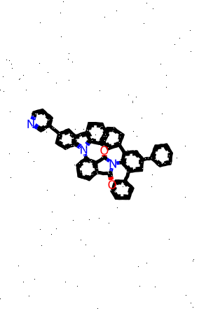 O=C1c2cccc(-n3c4ccccc4c4cc(-c5cccnc5)ccc43)c2C(=O)N1c1c(-c2ccccc2)cc(-c2ccccc2)cc1-c1ccccc1